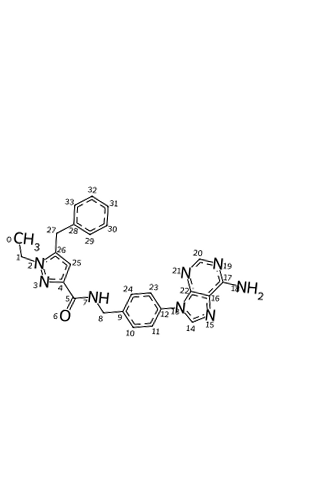 CCn1nc(C(=O)NCc2ccc(-n3cnc4c(N)ncnc43)cc2)cc1Cc1ccccc1